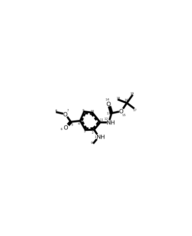 CNc1cc(C(=O)OC)ccc1NC(=O)OC(C)(C)C